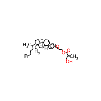 C=C(CO)C(=O)OCCO[C@H]1CC[C@@]2(C)C(=CC[C@@H]3[C@@H]2CC[C@]2(C)C([C@H](C)CCCC(C)C)CC[C@@H]32)C1